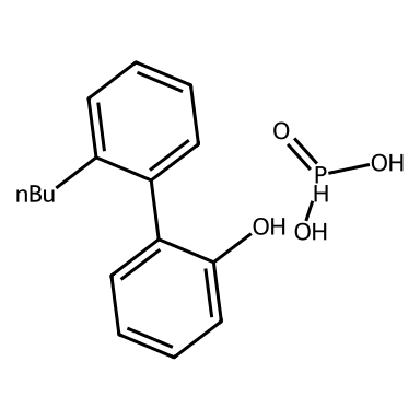 CCCCc1ccccc1-c1ccccc1O.O=[PH](O)O